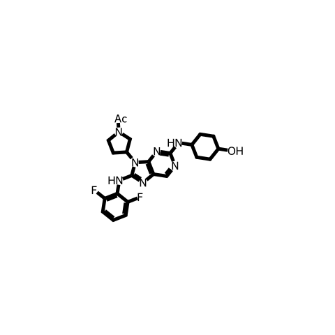 CC(=O)N1CCC(n2c(Nc3c(F)cccc3F)nc3cnc(NC4CCC(O)CC4)nc32)C1